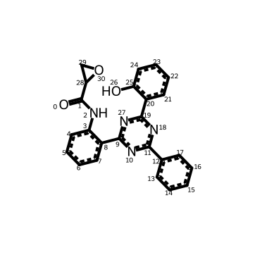 O=C(Nc1ccccc1-c1nc(-c2ccccc2)nc(-c2ccccc2O)n1)C1CO1